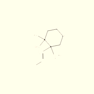 CCCCCCC1(CCCCCC)CCCCC1(CCCCCC)[SiH2]OCC